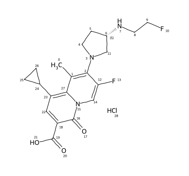 Cc1c(N2CC[C@H](NCCF)C2)c(F)cn2c(=O)c(C(=O)O)cc(C3CC3)c12.Cl